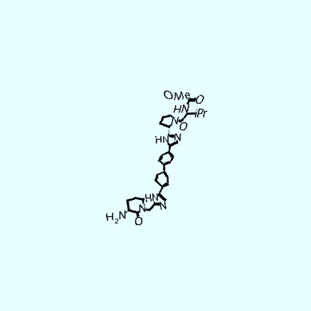 COC(=O)NC(C(=O)N1CCC[C@H]1c1ncc(-c2ccc(-c3ccc(-c4cnc(CN5CCC[C@@H](N)C5=O)[nH]4)cc3)cc2)[nH]1)C(C)C